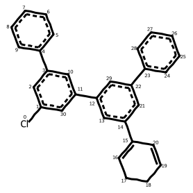 Clc1cc(-c2ccccc2)cc(-c2cc(C3=CCCC=C3)cc(-c3ccccc3)c2)c1